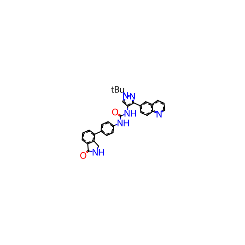 CC(C)(C)n1cc(NC(=O)Nc2ccc(-c3cccc4c3CNC4=O)cc2)c(-c2ccc3ncccc3c2)n1